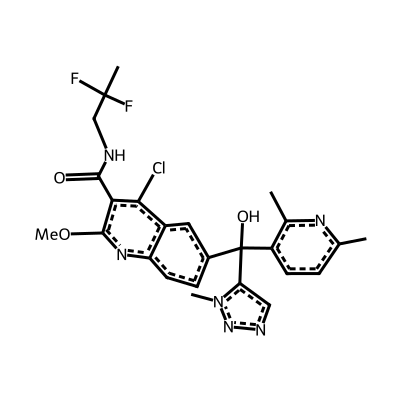 COc1nc2ccc(C(O)(c3ccc(C)nc3C)c3cnnn3C)cc2c(Cl)c1C(=O)NCC(C)(F)F